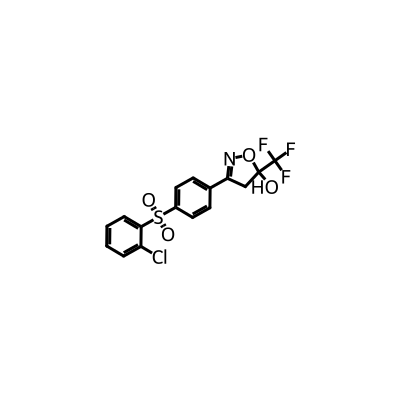 O=S(=O)(c1ccc(C2=NOC(O)(C(F)(F)F)C2)cc1)c1ccccc1Cl